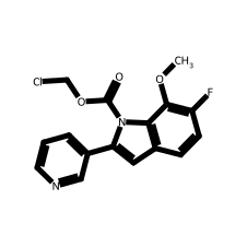 COc1c(F)ccc2cc(-c3cccnc3)n(C(=O)OCCl)c12